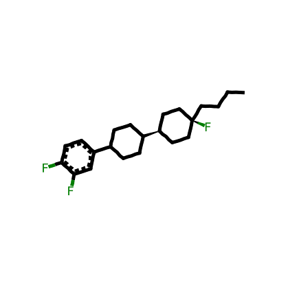 CCCC[C@]1(F)CC[C@@H](C2CCC(c3ccc(F)c(F)c3)CC2)CC1